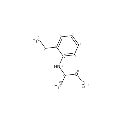 CCc1ccccc1NC(C)OC